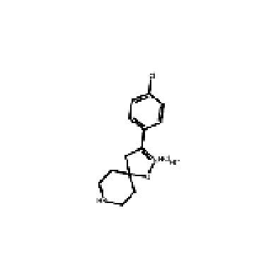 Cl.Cl.Clc1ccc(C2=NOC3(CCNCC3)C2)cc1